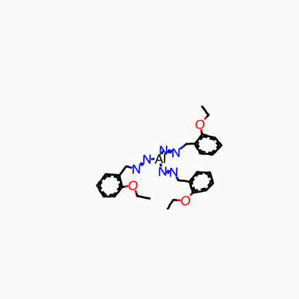 CCOc1ccccc1CN=[N][Al]([N]=NCc1ccccc1OCC)[N]=NCc1ccccc1OCC